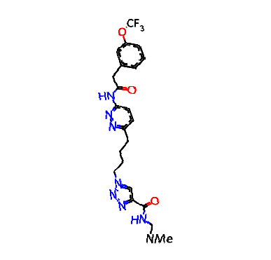 CNCNC(=O)c1cn(CCCCc2ccc(NC(=O)Cc3cccc(OC(F)(F)F)c3)nn2)nn1